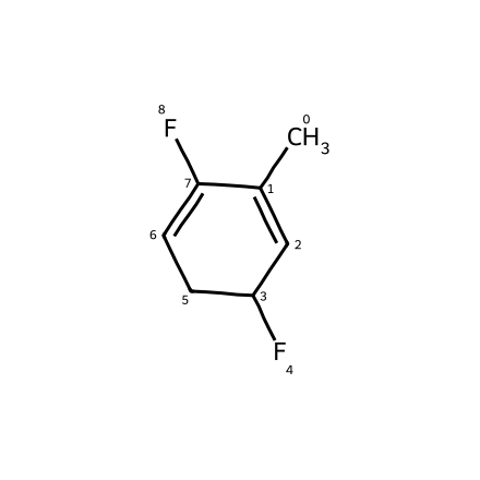 CC1=CC(F)CC=C1F